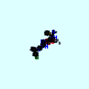 CN(C)CCC(CSc1ccccc1)Nc1ccc(S(=O)(=O)Nc2ncnc3c2CCN(C2CCN(CC4=C(c5ccc(Cl)cc5)CC(C)(C)CC4)CC2)C3)cc1S(=O)(=O)C(F)(F)F